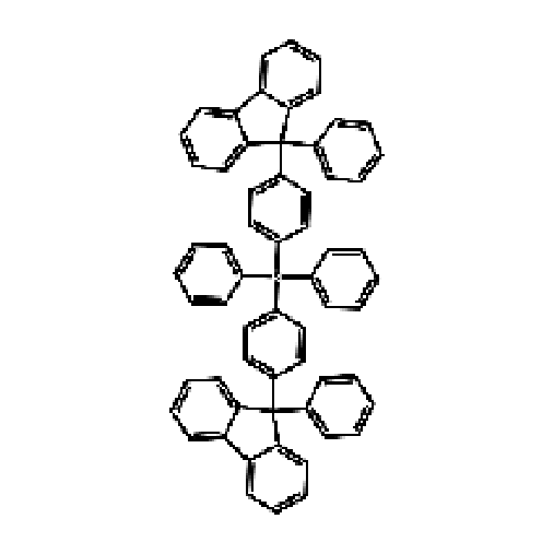 c1ccc(C2(c3ccc([Si](c4ccccc4)(c4ccccc4)c4ccc(C5(c6ccccc6)c6ccccc6-c6ccccc65)cc4)cc3)c3ccccc3-c3ccccc32)cc1